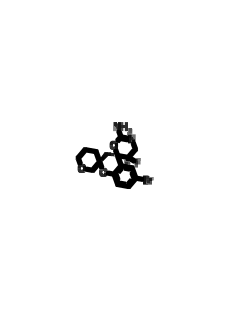 NC1=NCC(F)(F)[C@]2(C[C@@]3(CCCOC3)Oc3ccc(Br)cc32)O1